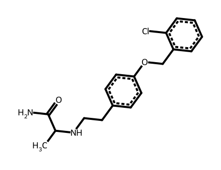 CC(NCCc1ccc(OCc2ccccc2Cl)cc1)C(N)=O